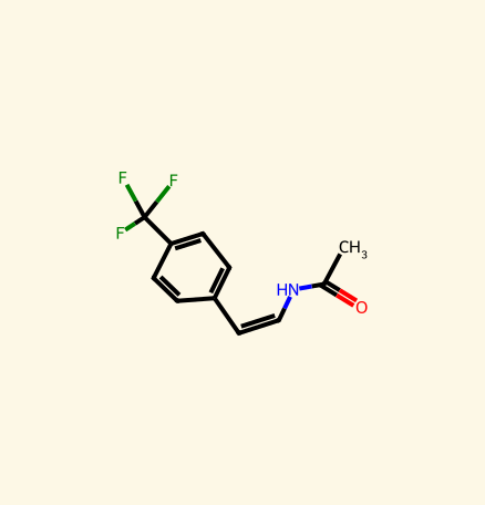 CC(=O)N/C=C\c1ccc(C(F)(F)F)cc1